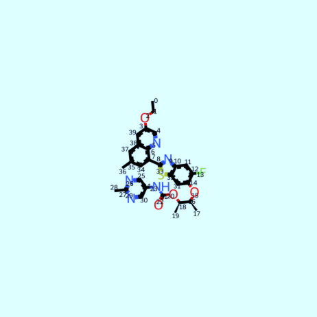 CCOc1cnc2c(-c3nc4cc(F)c(O[C@@H](C)[C@@H](C)OC(=O)Nc5cnc(C)nc5)cc4s3)cc(C)cc2c1